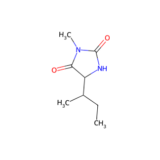 CCC(C)C1NC(=O)N(C)C1=O